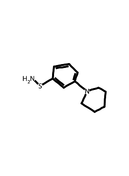 NSc1cccc(N2CCCCC2)c1